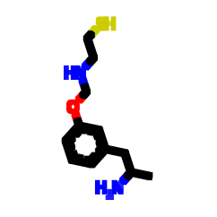 CC(N)Cc1cccc(OCNCCS)c1